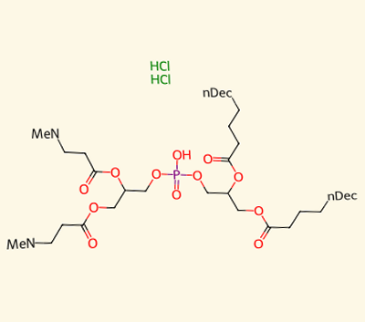 CCCCCCCCCCCCCC(=O)OCC(COP(=O)(O)OCC(COC(=O)CCNC)OC(=O)CCNC)OC(=O)CCCCCCCCCCCCC.Cl.Cl